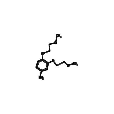 Bc1ccc(OCCOC)c(OCCOC)c1